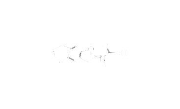 CN(C(=O)O)C1Cc2cc3c(cc2O1)CCCC3